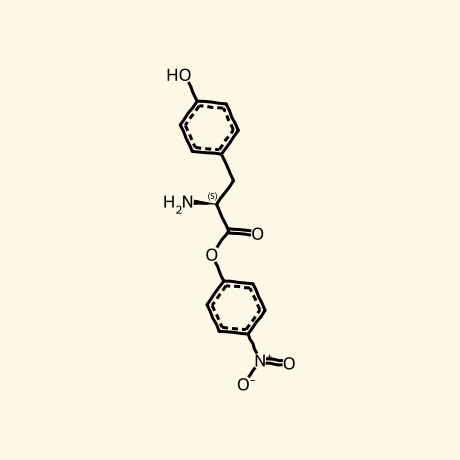 N[C@@H](Cc1ccc(O)cc1)C(=O)Oc1ccc([N+](=O)[O-])cc1